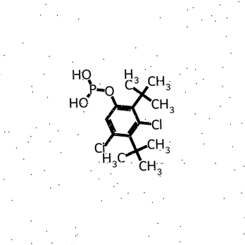 CC(C)(C)c1c(Cl)cc(OP(O)O)c(C(C)(C)C)c1Cl